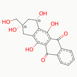 O=C1c2ccccc2C(=O)c2c(O)c3c(c(O)c21)C[C@@](O)(CO)C[C@@H]3O